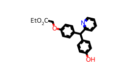 CCOC(=O)COc1ccc(C(c2ccc(O)cc2)c2ccccn2)cc1